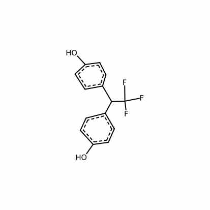 Oc1ccc(C(c2ccc(O)cc2)C(F)(F)F)cc1